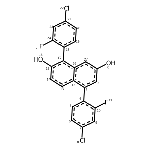 Oc1cc(-c2ccc(Cl)cc2F)c2ccc(O)c(-c3ccc(Cl)cc3F)c2c1